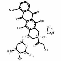 COc1cccc2c1C(=O)c1c(O)c3c(c(O)c1C2=O)C[C@@](O)(C(=O)CO)C[C@@H]3O[C@H]1C[C@H](N)[C@H](O)[C@H](C)O1.NC(=O)O